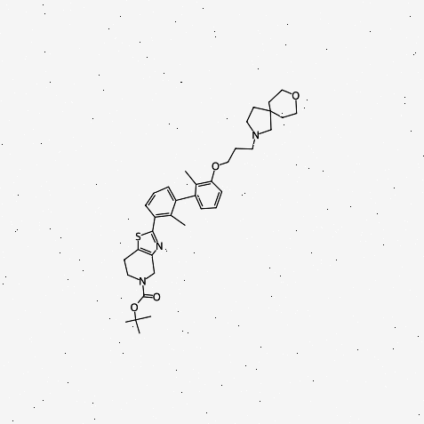 Cc1c(OCCCN2CCC3(CCOCC3)C2)cccc1-c1cccc(-c2nc3c(s2)CCN(C(=O)OC(C)(C)C)C3)c1C